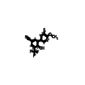 COc1ncc(-c2cc(C#N)cc(C(F)(F)F)c2O)cc1F